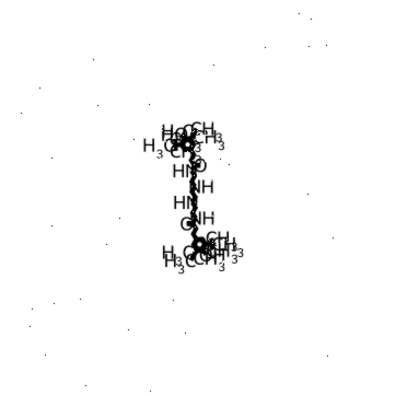 CC(C)(C)c1cc(CCC(=O)NCCNCCNCCNC(=O)CCc2cc(C(C)(C)C)c(O)c(C(C)(C)C)c2)cc(C(C)(C)C)c1O